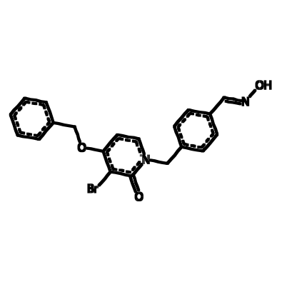 O=c1c(Br)c(OCc2ccccc2)ccn1Cc1ccc(/C=N/O)cc1